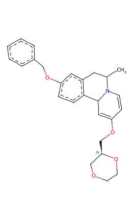 CC1Cc2cc(OCc3ccccc3)ccc2C2C=C(OC[C@@H]3COCCO3)C=CN12